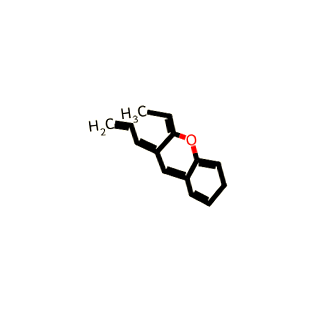 C=C/C=C1/C=C2C=CCC=C2O/C1=C/C